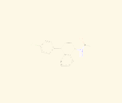 CC(=O)NC1CCC(c2ccc(Cl)cc2)c2ccccc21